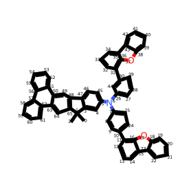 CC1(C)c2cc(N(c3ccc(-c4cccc5c4oc4ccccc45)cc3)c3cccc(-c4cccc5c4oc4ccccc45)c3)ccc2-c2cc3c4ccccc4c4ccccc4c3cc21